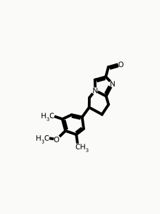 COc1c(C)cc(C2CCc3nc(C=O)cn3C2)cc1C